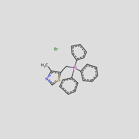 Cc1ncsc1C[P+](c1ccccc1)(c1ccccc1)c1ccccc1.[Br-]